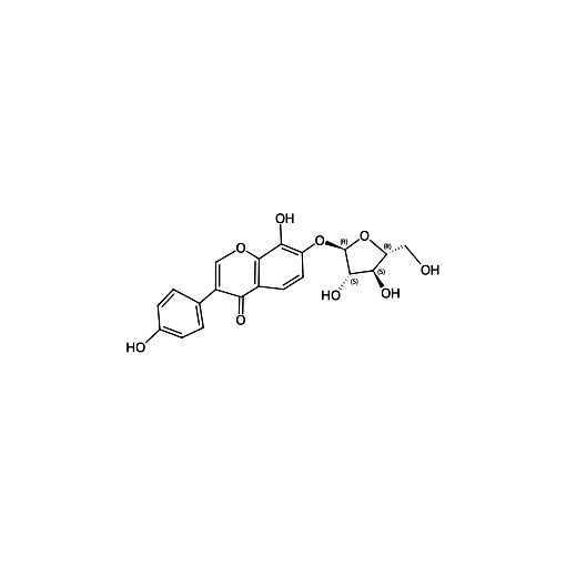 O=c1c(-c2ccc(O)cc2)coc2c(O)c(O[C@H]3O[C@H](CO)[C@@H](O)[C@@H]3O)ccc12